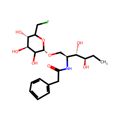 CC[C@@H](O)[C@@H](O)[C@H](CO[C@H]1OC(CF)[C@@H](O)[C@H](O)C1O)NC(=O)Cc1ccccc1